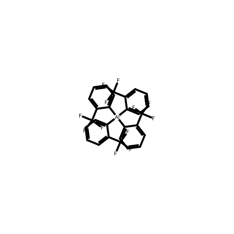 FC(F)(F)c1cccc[c]1[Al-]([c]1ccccc1C(F)(F)F)([c]1ccccc1C(F)(F)F)[c]1ccccc1C(F)(F)F